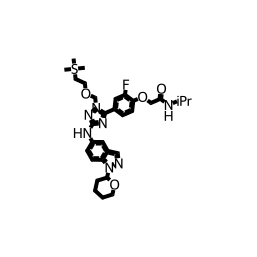 CC(C)NC(=O)COc1ccc(-c2nc(Nc3ccc4c(cnn4C4CCCCO4)c3)nn2COCCS(C)(C)C)cc1F